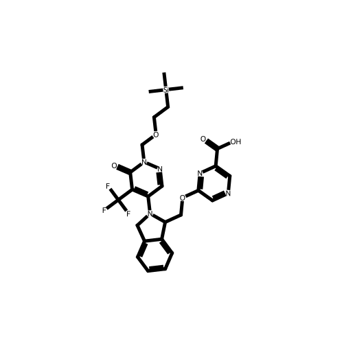 C[Si](C)(C)CCOCn1ncc(N2Cc3ccccc3C2COc2cncc(C(=O)O)n2)c(C(F)(F)F)c1=O